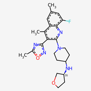 Cc1cc(F)c2nc(N3CCC(N[C@H]4CCOC4)CC3)c(-c3noc(C)n3)c(C)c2c1